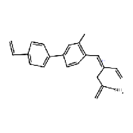 C=C/C(=C/c1ccc(-c2ccc(C=C)cc2)cc1C)CC(=C)N